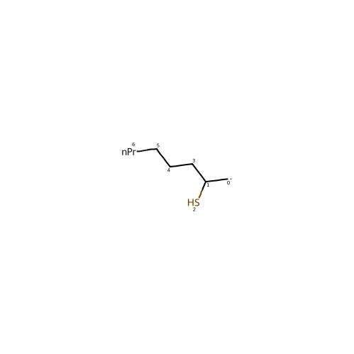 [CH2]C(S)CCCCCC